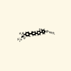 C=CC(=O)N(C)C1CCC(C2CCC(C3CCC(c4ccc(CCCCC)cc4CC)CC3)CC2)CC1